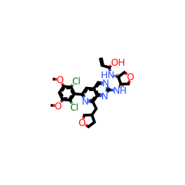 C=CC(O)N[C@H]1COC[C@H]1Nc1ncc2cc(-c3c(Cl)c(OC)cc(OC)c3Cl)nc(CC3CCOC3)c2n1